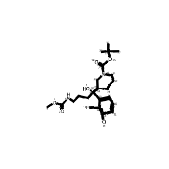 COC(=O)NCCC[C@@](O)(c1cccc(Cl)c1F)[C@@H]1CCCN(C(=O)OC(C)(C)C)C1